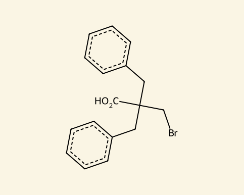 O=C(O)C(CBr)(Cc1ccccc1)Cc1ccccc1